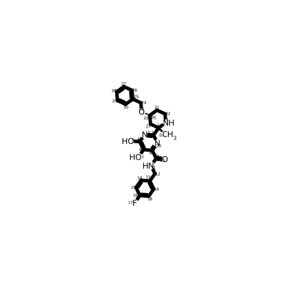 C[C@@]1(c2nc(O)c(O)c(C(=O)NCc3ccc(F)cc3)n2)C[C@H](OCc2ccccc2)CCN1